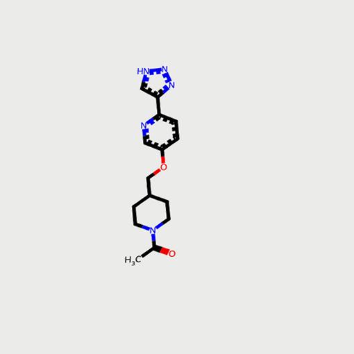 CC(=O)N1CCC(COc2ccc(-c3c[nH]nn3)nc2)CC1